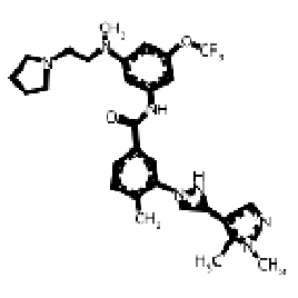 Cc1ccc(C(=O)Nc2cc(OC(F)(F)F)cc(N(C)CCN3CCCC3)c2)cc1-n1cc(-c2cnn(C)c2C)[nH]1